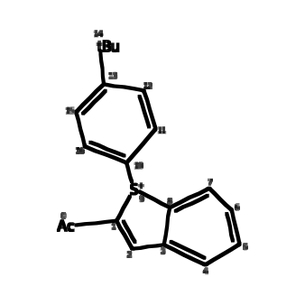 CC(=O)c1cc2ccccc2[s+]1-c1ccc(C(C)(C)C)cc1